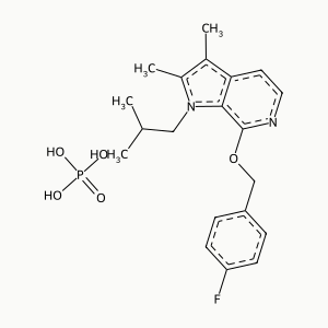 Cc1c(C)n(CC(C)C)c2c(OCc3ccc(F)cc3)nccc12.O=P(O)(O)O